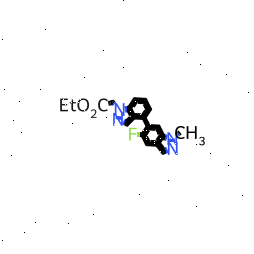 CCOC(=O)Cn1ncc2c(-c3cc4c(cnn4C)cc3F)cccc21